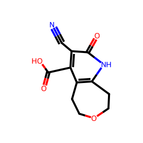 N#Cc1c(C(=O)O)c2c([nH]c1=O)CCOCC2